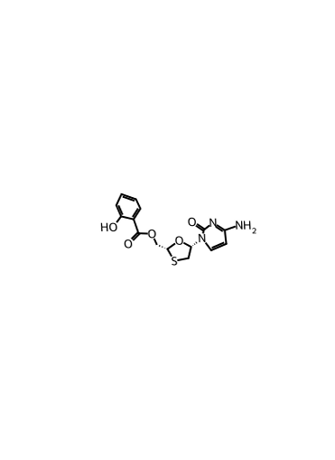 Nc1ccn([C@@H]2CS[C@H](COC(=O)c3ccccc3O)O2)c(=O)n1